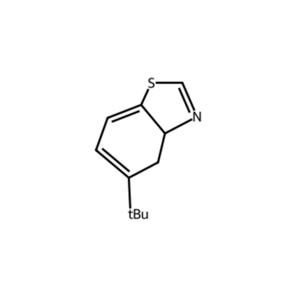 CC(C)(C)C1=CC=C2SC=NC2C1